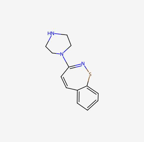 C1=Cc2ccccc2SN=C1N1CCNCC1